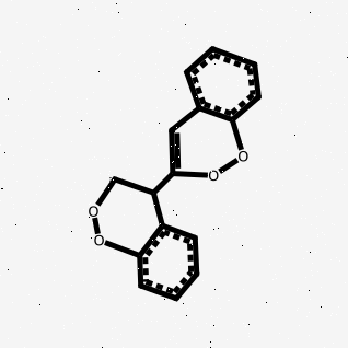 [C]1OOc2ccccc2C1C1=Cc2ccccc2OO1